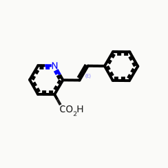 O=C(O)c1cccnc1/C=C/c1ccccc1